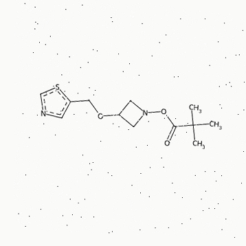 CC(C)(C)C(=O)ON1CC(OCc2cncs2)C1